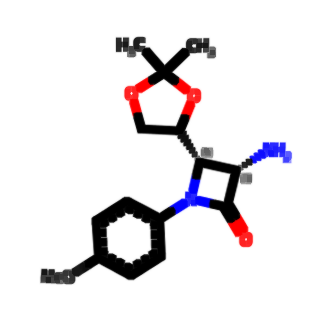 COc1ccc(N2C(=O)[C@@H](N)[C@H]2C2COC(C)(C)O2)cc1